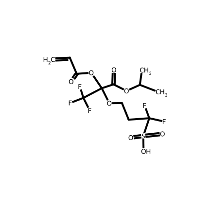 C=CC(=O)OC(OCCC(F)(F)S(=O)(=O)O)(C(=O)OC(C)C)C(F)(F)F